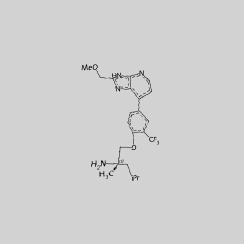 COCc1nc2c(-c3ccc(OC[C@@](C)(N)CC(C)C)c(C(F)(F)F)c3)ccnc2[nH]1